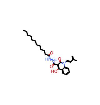 C=C(C)C=Cn1c(=O)c(C(=O)NNC(=O)CCCCCCCCCCC)c(O)c2ccccc21